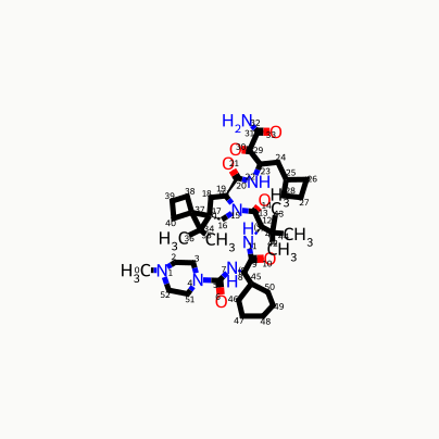 CN1CCN(C(=O)N[C@H](C(=O)N[C@H](C(=O)N2C[C@]3(C[C@H]2C(=O)NC(CC2CCC2)C(=O)C(N)=O)C(C)(C)C32CCC2)C(C)(C)C)C2CCCCC2)CC1